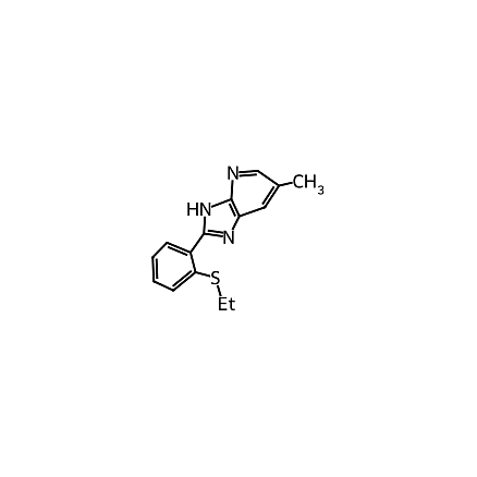 CCSc1ccccc1-c1nc2cc(C)cnc2[nH]1